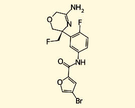 NC1=N[C@](CF)(c2cc(NC(=O)c3cc(Br)co3)ccc2F)COC1